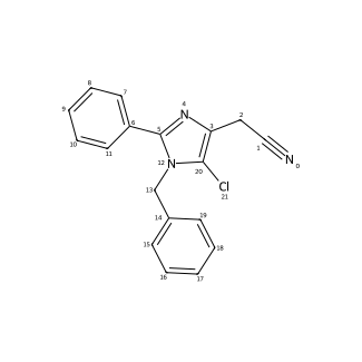 N#CCc1nc(-c2ccccc2)n(Cc2ccccc2)c1Cl